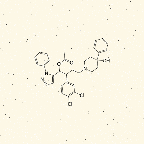 CC(=O)OC(c1ccnn1-c1ccccc1)C(CCN1CCC(O)(c2ccccc2)CC1)c1ccc(Cl)c(Cl)c1